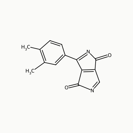 Cc1ccc(-c2nc(=O)c3cnc(=O)c2=3)cc1C